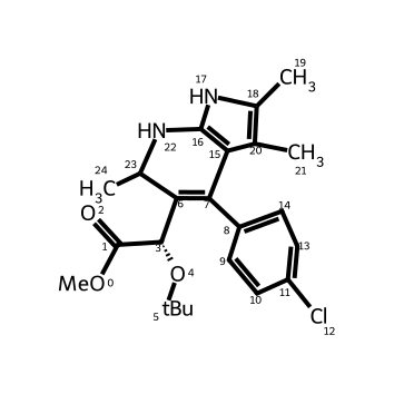 COC(=O)[C@@H](OC(C)(C)C)C1=C(c2ccc(Cl)cc2)c2c([nH]c(C)c2C)NC1C